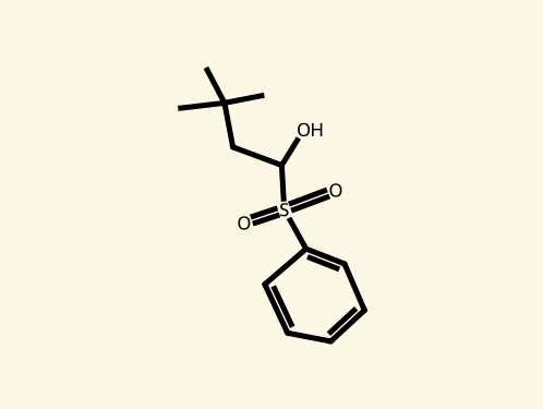 CC(C)(C)CC(O)S(=O)(=O)c1ccccc1